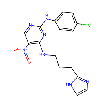 O=[N+]([O-])c1cnc(Nc2ccc(Cl)cc2)nc1NCCCc1ncc[nH]1